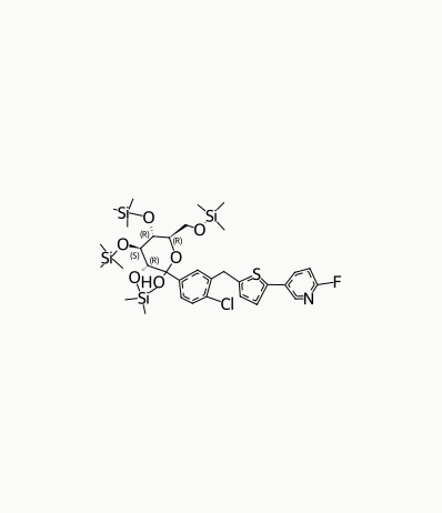 C[Si](C)(C)OC[C@H]1OC(O)(c2ccc(Cl)c(Cc3ccc(-c4ccc(F)nc4)s3)c2)[C@H](O[Si](C)(C)C)[C@@H](O[Si](C)(C)C)[C@@H]1O[Si](C)(C)C